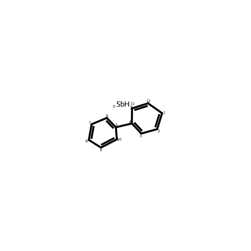 [SbH3].c1ccc(-c2ccccc2)cc1